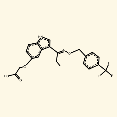 CC/C(=N\OCc1ccc(C(F)(F)F)cc1)c1c[nH]c2ccc(OCC(=O)O)cc12